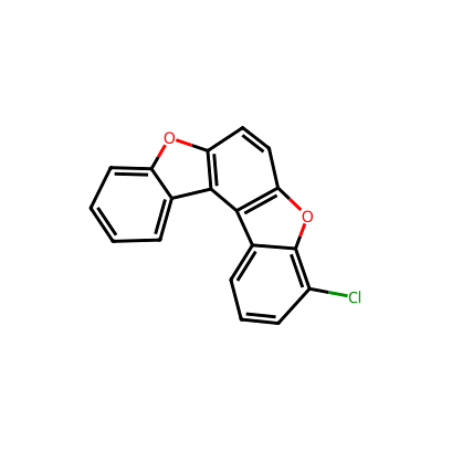 Clc1cccc2c1oc1ccc3oc4ccccc4c3c12